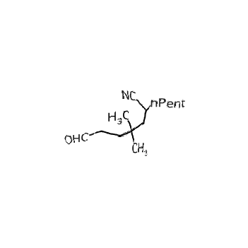 CCCCCC(C#N)CC(C)(C)CCC=O